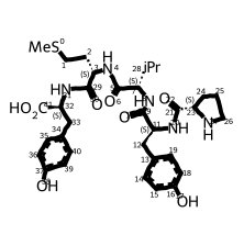 CSCC[C@H](NC(=O)[C@@H](NC(=O)[C@H](Cc1ccc(O)cc1)NC(=O)[C@@H]1CCCN1)C(C)C)C(=O)N[C@@H](Cc1ccc(O)cc1)C(=O)O